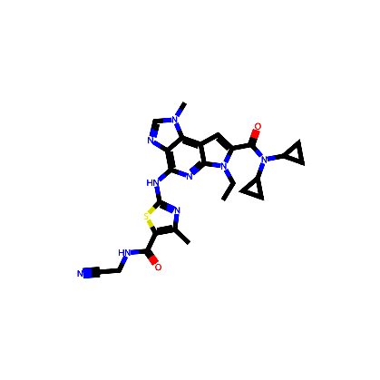 CCn1c(C(=O)N(C2CC2)C2CC2)cc2c3c(ncn3C)c(Nc3nc(C)c(C(=O)NCC#N)s3)nc21